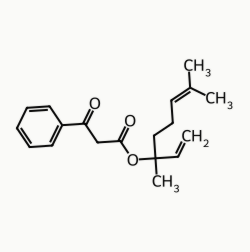 C=CC(C)(CCC=C(C)C)OC(=O)CC(=O)c1ccccc1